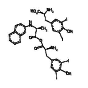 C[C@H](Nc1ccc2ccccc2c1)C(=O)OC(=O)[C@@H](N)Cc1cc(I)c(O)c(I)c1.N[C@@H](Cc1cc(I)c(O)c(I)c1)C(=O)O